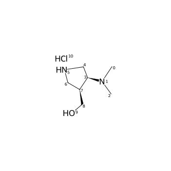 CN(C)[C@@H]1CNC[C@@H]1CO.Cl